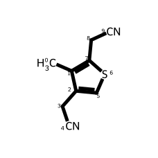 Cc1c(CC#N)csc1CC#N